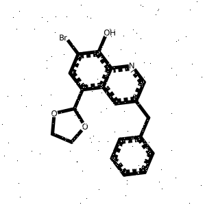 Oc1c(Br)cc(C2OCCO2)c2cc(Cc3ccccc3)cnc12